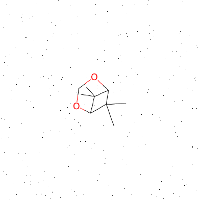 CC1(C)C2OCOC1C2(C)C